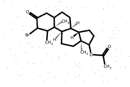 CC(=O)OC1CC[C@H]2[C@@H]3CCC4CC(=O)C(Br)C(C)[C@]4(C)[C@@H]3CC[C@]12C